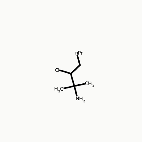 CCCCC(Cl)C(C)(C)N